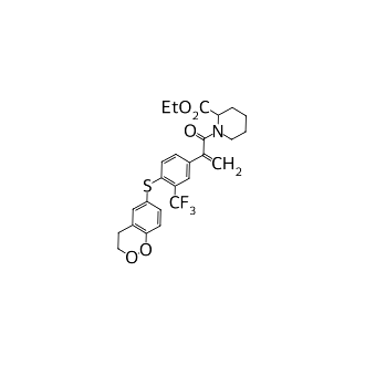 C=C(C(=O)N1CCCCC1C(=O)OCC)c1ccc(Sc2ccc3c(c2)CCOO3)c(C(F)(F)F)c1